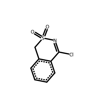 O=S1(=O)Cc2ccccc2C(Cl)=N1